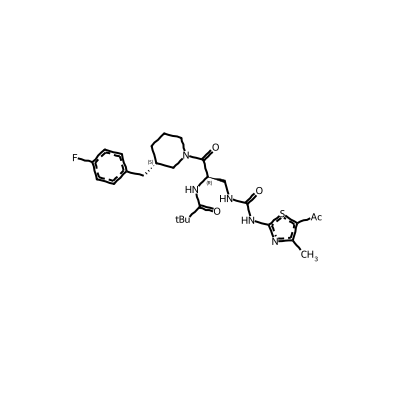 CC(=O)c1sc(NC(=O)NC[C@@H](NC(=O)C(C)(C)C)C(=O)N2CCC[C@@H](Cc3ccc(F)cc3)C2)nc1C